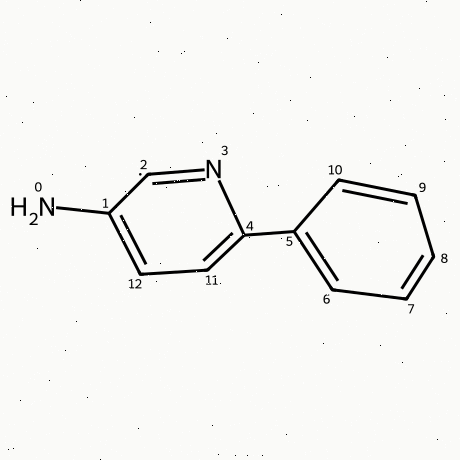 Nc1[c]nc(-c2ccccc2)cc1